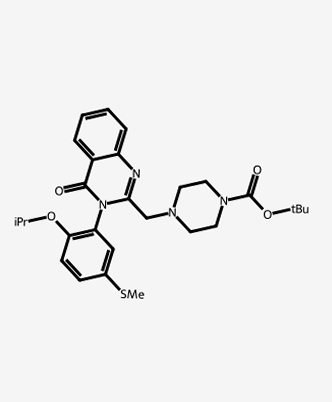 CSc1ccc(OC(C)C)c(-n2c(CN3CCN(C(=O)OC(C)(C)C)CC3)nc3ccccc3c2=O)c1